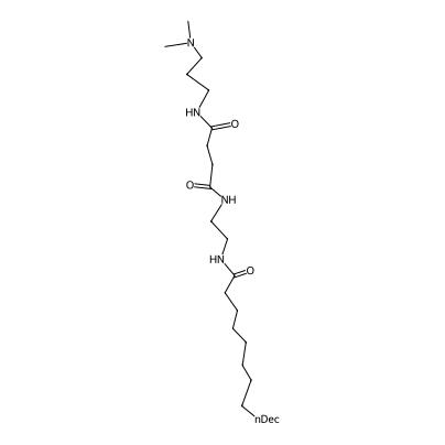 CCCCCCCCCCCCCCCCCC(=O)NCCNC(=O)CCC(=O)NCCCN(C)C